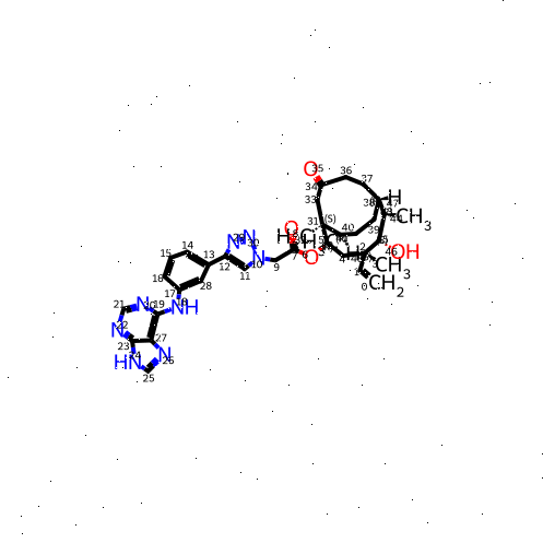 C=C[C@]1(C)C[C@@H](OC(=O)Cn2cc(-c3cccc(Nc4ncnc5[nH]cnc45)c3)nn2)[C@@]2(C)CC(=O)CC[C@@H](CC[C@H]2C)[C@@H](C)[C@@H]1O